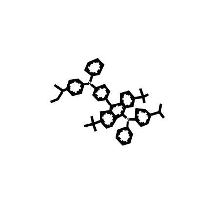 CCC(C)c1ccc(N(c2ccccc2)c2ccc(-c3c4cc(C(C)(C)C)ccc4c(N(c4ccccc4)c4ccc(C(C)C)cc4)c4cc(C(C)(C)C)ccc34)cc2)cc1